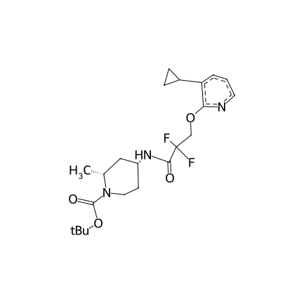 C[C@@H]1C[C@H](NC(=O)C(F)(F)COc2ncccc2C2CC2)CCN1C(=O)OC(C)(C)C